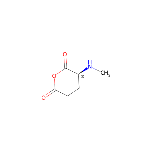 CN[C@H]1CCC(=O)OC1=O